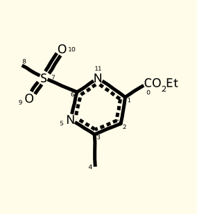 CCOC(=O)c1cc(C)nc(S(C)(=O)=O)n1